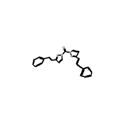 O=C(n1ccc(C=Cc2ccccc2)n1)n1ccc(C=Cc2ccccc2)n1